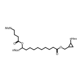 CCCCCCCCCC(CCCCCCCCC(=O)OCC1CC1CCCCCC)OC(=O)CCCNC